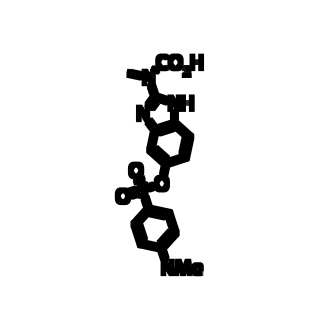 CNc1ccc(S(=O)(=O)Oc2ccc3[nH]c(N(C)C(=O)O)nc3c2)cc1